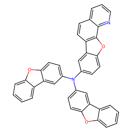 c1cnc2c(c1)ccc1c3cc(N(c4ccc5oc6ccccc6c5c4)c4ccc5oc6ccccc6c5c4)ccc3oc12